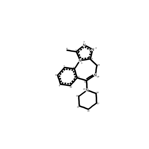 Cc1nnc2n1-c1ccccc1C(N1CCCCC1)=NC2